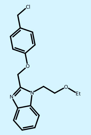 CCOCCn1c(COc2ccc(CCl)cc2)nc2ccccc21